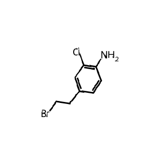 Nc1ccc(CCBr)cc1Cl